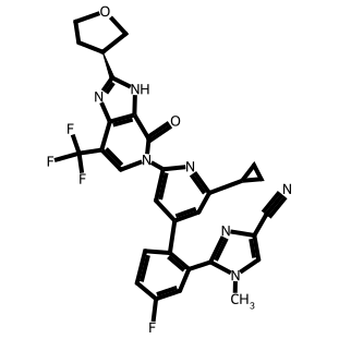 Cn1cc(C#N)nc1-c1cc(F)ccc1-c1cc(C2CC2)nc(-n2cc(C(F)(F)F)c3nc([C@H]4CCOC4)[nH]c3c2=O)c1